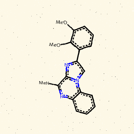 CNc1nc2ccccc2n2cc(-c3cccc(OC)c3OC)nc12